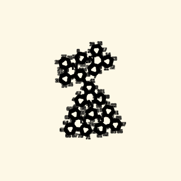 c1cc(N2c3ccccc3-c3ccccc3-c3ccccc32)cc(N2c3ccccc3-c3ccccc3-c3cc(-c4ccc5c(c4)-c4ccccc4N(c4cc(N6c7ccccc7-c7ccccc7-c7ccccc76)cc(N6c7ccccc7-c7ccccc7-c7ccccc76)c4)c4ccccc4-5)ccc32)c1